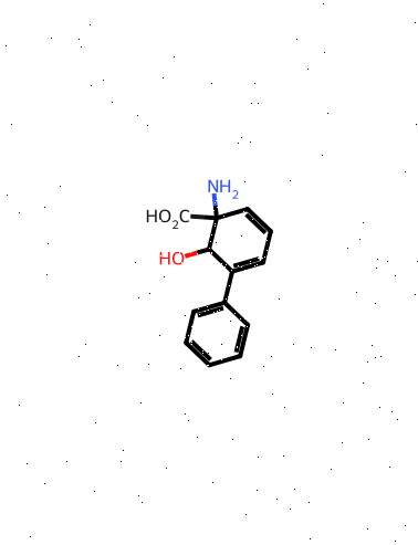 NC1(C(=O)O)C=CC=C(c2ccccc2)C1O